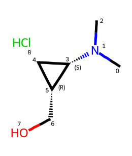 CN(C)[C@H]1C[C@H]1CO.Cl